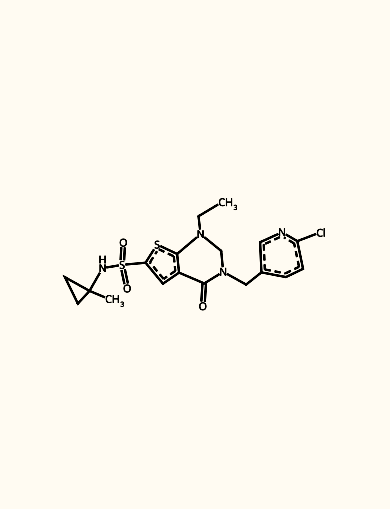 CCN1CN(Cc2ccc(Cl)nc2)C(=O)c2cc(S(=O)(=O)NC3(C)CC3)sc21